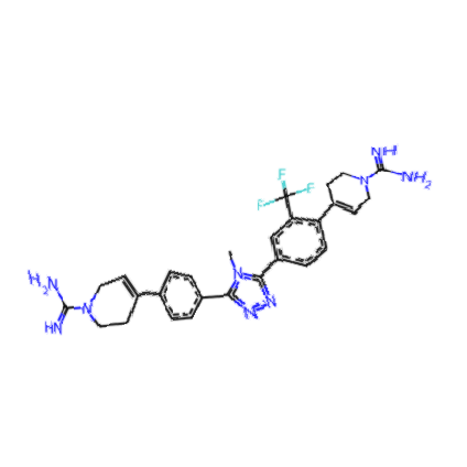 Cn1c(-c2ccc(C3=CCN(C(=N)N)CC3)cc2)nnc1-c1ccc(C2=CCN(C(=N)N)CC2)c(C(F)(F)F)c1